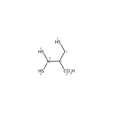 O=C(O)C(CS)N(S)S